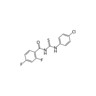 O=C(NC(=S)Nc1ccc(Cl)cc1)c1ccc(F)cc1F